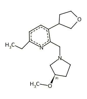 CCc1ccc(C2CCOC2)c(CN2CC[C@@H](OC)C2)n1